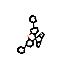 c1ccc(-c2ccc3c(c2)Oc2cc(-c4ccccc4)ccc2C32c3ccccc3-c3ccccc32)cc1